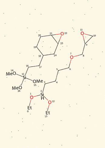 CCO[SiH](CCCCOCC1CO1)OCC.CO[Si](CCC1CCC2OC2C1)(OC)OC